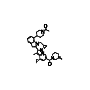 CC(=O)N1CCC(c2cccc3cc(-c4nn5cc(C(=O)N6CCC[C@@H](C)C6)cc(F)c5c4C)n(CC4CC4)c23)CC1